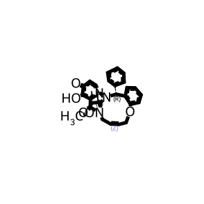 COC[C@@H]1N2C/C=C\COc3ccccc3[C@@H](c3ccccc3)N1n1ccc(=O)c(O)c1C2=O